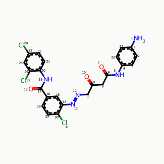 Nc1ccc(NC(=O)CC(=O)CN=Nc2cc(C(=O)Nc3ccc(Cl)cc3Cl)ccc2Cl)cc1